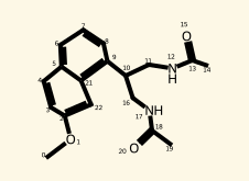 COc1ccc2cccc(C(CNC(C)=O)CNC(C)=O)c2c1